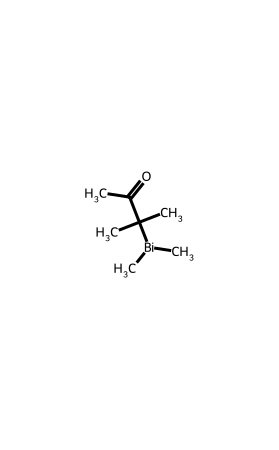 CC(=O)[C](C)(C)[Bi]([CH3])[CH3]